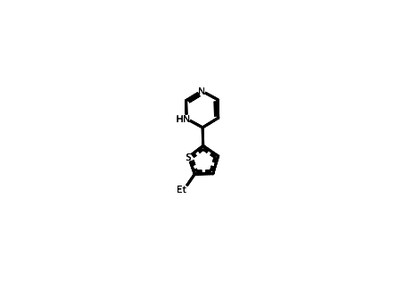 CCc1ccc(C2C=CN=CN2)s1